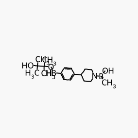 CB(O)N1CCC(c2ccc(BOC(C)(C)C(C)(C)O)cc2)CC1